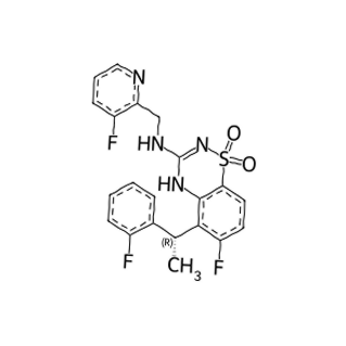 C[C@H](c1ccccc1F)c1c(F)ccc2c1NC(NCc1ncccc1F)=NS2(=O)=O